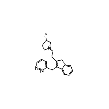 FC1CCN(CCC2=C(Cc3cccnn3)c3ccccc3C2)C1